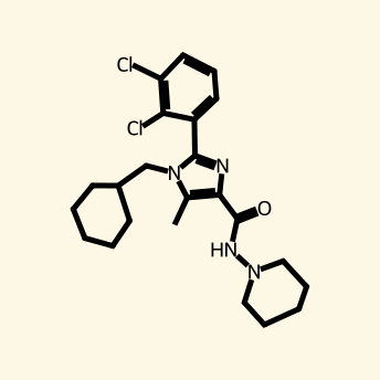 Cc1c(C(=O)NN2CCCCC2)nc(-c2cccc(Cl)c2Cl)n1CC1CCCCC1